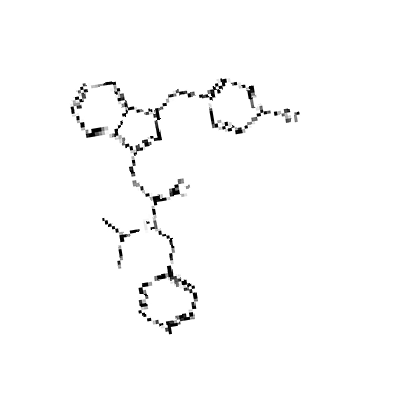 CC(C)N(Cc1ccncc1)C(=O)Cc1cn(Cc2ccc(Br)cc2)c2ccccc12